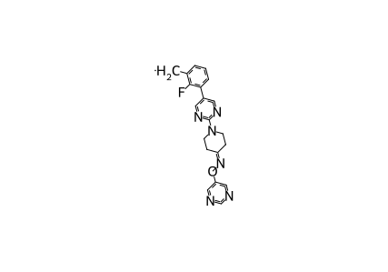 [CH2]c1cccc(-c2cnc(N3CCC(=NOc4cncnc4)CC3)nc2)c1F